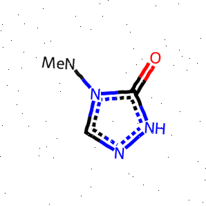 CNn1cn[nH]c1=O